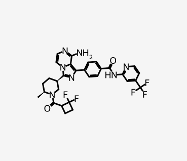 C[C@H]1CC[C@@H](c2nc(-c3ccc(C(=O)Nc4cc(C(F)(F)F)ccn4)cc3)c3c(N)nccn23)CN1C(=O)C1CCC1(F)F